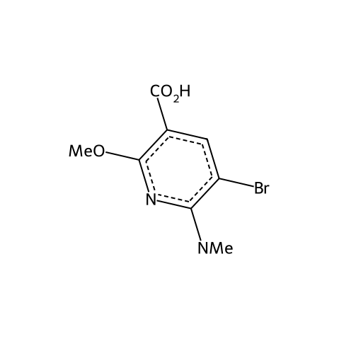 CNc1nc(OC)c(C(=O)O)cc1Br